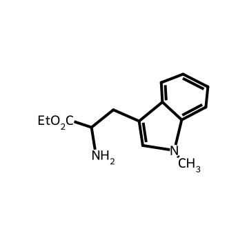 CCOC(=O)C(N)Cc1cn(C)c2ccccc12